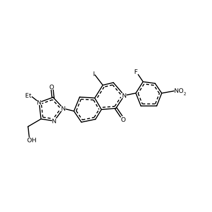 CCn1c(CO)nn(-c2ccc3c(=O)n(-c4ccc([N+](=O)[O-])cc4F)cc(I)c3c2)c1=O